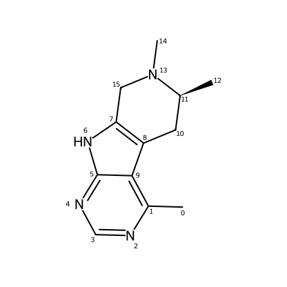 Cc1ncnc2[nH]c3c(c12)C[C@H](C)N(C)C3